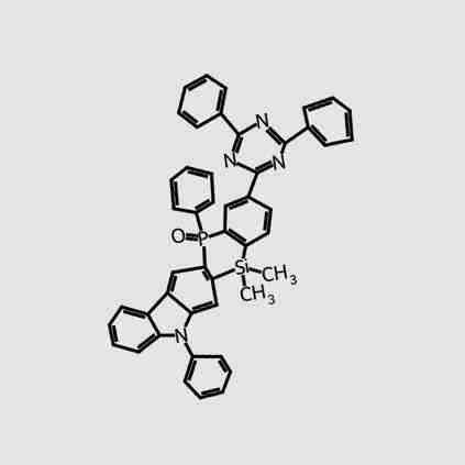 C[Si]1(C)c2ccc(-c3nc(-c4ccccc4)nc(-c4ccccc4)n3)cc2P(=O)(c2ccccc2)c2cc3c4ccccc4n(-c4ccccc4)c3cc21